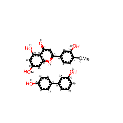 COc1ccc(-c2cc(=O)c3c(O)cc(O)cc3o2)cc1O.Oc1ccc(-c2cccc(O)c2)cc1